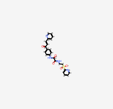 O=C(NCCS(=O)(=O)c1ccccn1)C(=O)Nc1ccc(C(=O)C=Cc2ccccn2)cc1